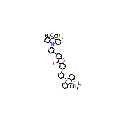 CC1(C)c2ccccc2N(c2cccc(-c3ccc4sc5ccc(-c6cccc(N7c8ccccc8C(C)(C)c8ccccc87)c6)cc5c(=O)c4c3)c2)c2ccccc21